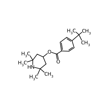 CC1(C)CC(OC(=O)c2ccc(C(C)(C)C)cc2)CC(C)(C)N1